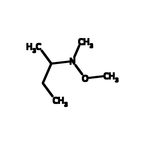 CCC(C)N(C)OC